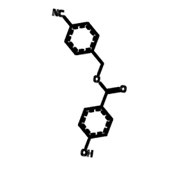 N#Cc1ccc(COC(=O)c2ccc(O)cc2)cc1